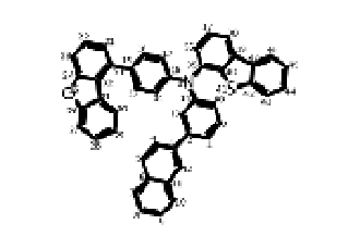 c1cc(-c2ccc3ccccc3c2)cc(N(c2ccc(-c3cccc4oc5ccccc5c34)cc2)c2cccc3c2sc2ccccc23)c1